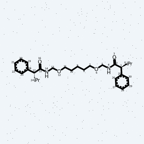 CC(C)[C@H](C(=O)NCOCCCCCOCNC(=O)[C@@H](c1ccccc1)C(C)C)c1ccccc1